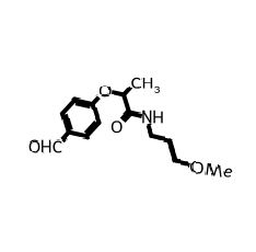 COCCCNC(=O)C(C)Oc1ccc(C=O)cc1